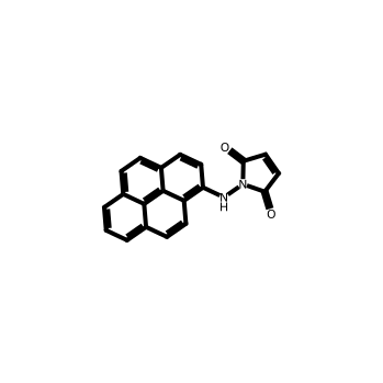 O=C1C=CC(=O)N1Nc1ccc2ccc3cccc4ccc1c2c34